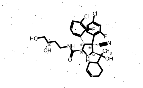 CC(O)(C1CC=CCC1)[C@H]1N[C@@H](C(=O)NCC[C@H](O)CO)[C@H](c2cccc(Cl)c2F)[C@@]1(C#N)c1ccc(Cl)cc1F